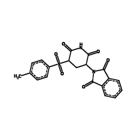 Cc1ccc(S(=O)(=O)C2CC(N3C(=O)c4ccccc4C3=O)C(=O)NC2=O)cc1